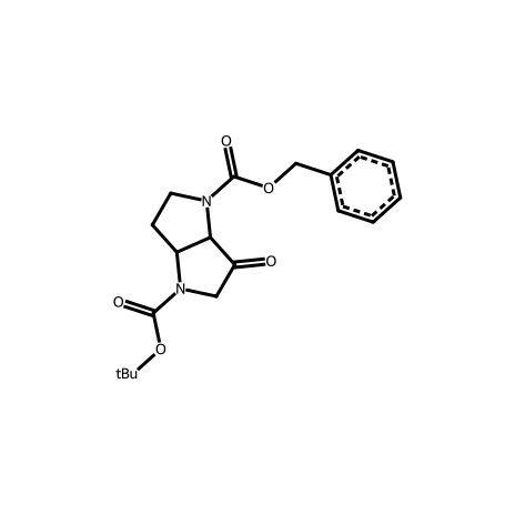 CC(C)(C)OC(=O)N1CC(=O)C2C1CCN2C(=O)OCc1ccccc1